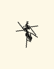 C=c1c2c(c(-c3ccc(C(C)(C)C(C)C)s3)n1CC(CCCCCCCC)CCCCCCCCCC)C(=O)N(CC(CCCCCCCC)CCCCCCCCCC)C=2c1ccc(-c2ccc3c(CCCCCCCCCCC)c4c(=O)n5c(C(C)(C)C(C)C)ccc5c(CCCCCCCCCCC)c4c(=O)n23)s1